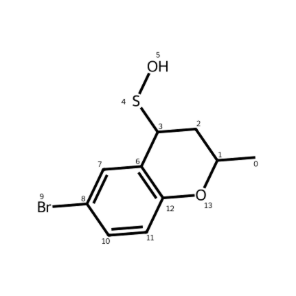 CC1CC(SO)c2cc(Br)ccc2O1